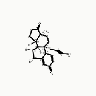 C[C@]12CC[C@H]3[C@@H]([C@H](Br)[C@@H](Br)C4=CC(=O)C=C[C@@]43CC#CCl)[C@@H]1CCC2=O